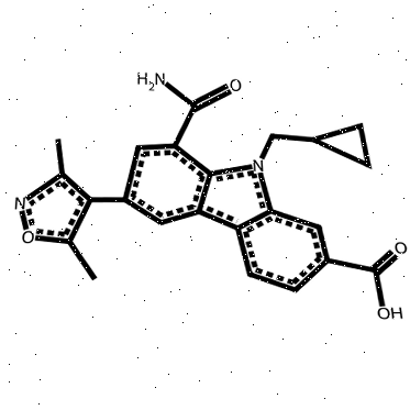 Cc1noc(C)c1-c1cc(C(N)=O)c2c(c1)c1ccc(C(=O)O)cc1n2CC1CC1